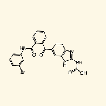 O=C(O)Nc1nc2ccc(C(=O)c3ccccc3C(=O)Nc3cccc(Br)c3)cc2[nH]1